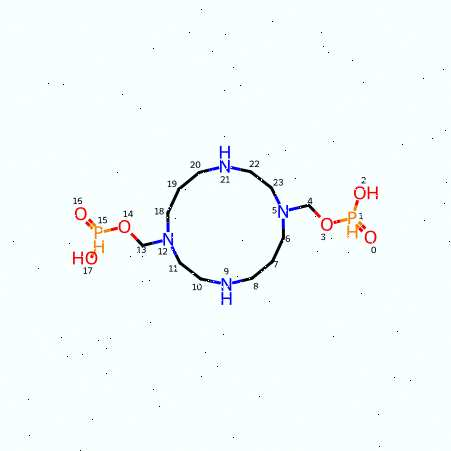 O=[PH](O)OCN1CCCNCCN(CO[PH](=O)O)CCCNCC1